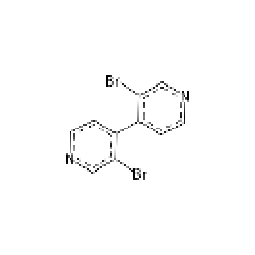 Brc1cnccc1-c1ccncc1Br